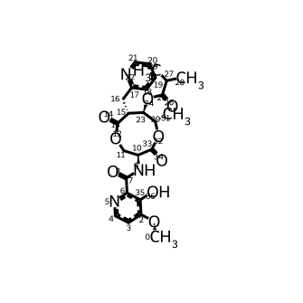 COc1ccnc(C(=O)N[C@H]2COC(=O)[C@H](Cc3ccccn3)[C@@H](OC(=O)C(C)C)[C@H](C)OC2=O)c1O